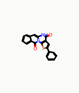 O=c1[nH]c2cc3ccccc3c(=O)n2c2sc(-c3ccccc3)cc12